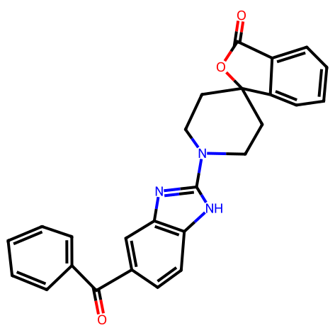 O=C(c1ccccc1)c1ccc2[nH]c(N3CCC4(CC3)OC(=O)c3ccccc34)nc2c1